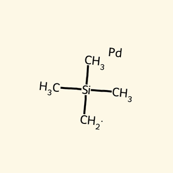 [CH2][Si](C)(C)C.[Pd]